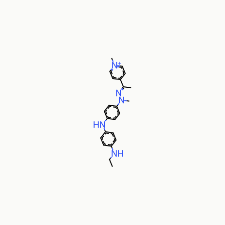 CCNc1ccc(Nc2ccc(N(C)/N=C(\C)c3cc[n+](C)cc3)cc2)cc1